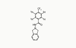 [2H]c1c([2H])c(C(F)(F)F)c([2H])c([2H])c1C(=O)NN1Cc2ccccc2C1